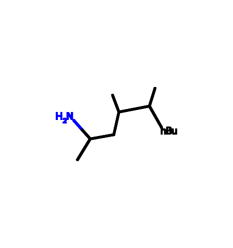 CCCCC(C)C(C)CC(C)N